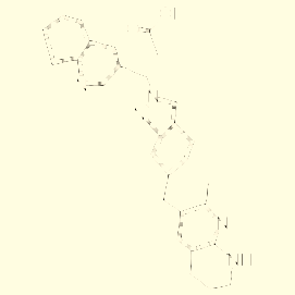 Cc1nc2c(cc1Cc1ccc3cn([C@@H](CC(=O)O)c4cnc5ccccc5c4)nc3c1)CCCN2